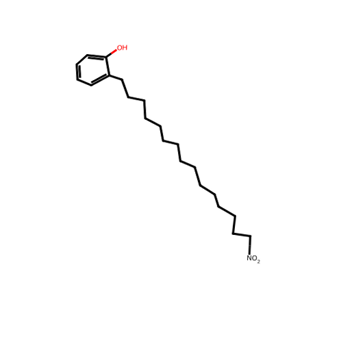 O=[N+]([O-])CCCCCCCCCCCCCCCc1ccccc1O